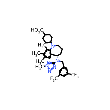 Cc1cc2c(c(C)c1C)N(C1CCC(C(=O)O)CC1)CCC[C@@H]2N(Cc1cc(C(F)(F)F)cc(C(F)(F)F)c1)c1nnn(C)n1